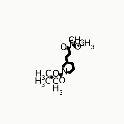 CON(C)C(=O)CCC1CCCN(C(=O)OC(C)(C)C)C1